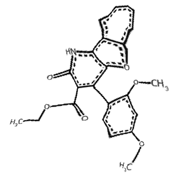 CCOC(=O)c1c(-c2ccc(OC)cc2OC)c2oc3ccccc3c2[nH]c1=O